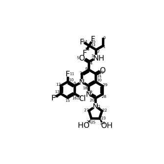 CCC(NC(=O)c1cn(-c2c(F)cc(F)cc2Cl)c2nc(N3C[C@@H](O)[C@H](O)C3)ccc2c1=O)C(F)(F)F